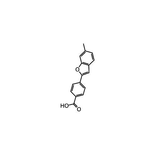 Cc1ccc2cc(-c3ccc(C(=O)O)cc3)oc2c1